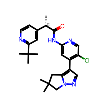 C[C@H](C(=O)Nc1cc(-c2cnn3c2CC(C)(C)C3)c(Cl)cn1)c1ccnc(C(C)(C)C)c1